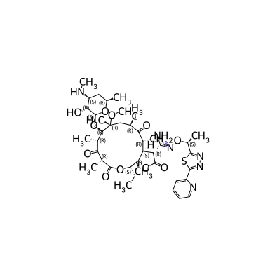 CC[C@@H]1OC(=O)[C@H](C)C(=O)[C@H](C)[C@@H](O[C@@H]2O[C@H](C)C[C@H](NC)[C@H]2O)[C@](C)(OC)C[C@@H](C)C(=O)[C@H](C)[C@H]2[C@H](/C(N)=N/O[C@@H](C)c3nnc(-c4ccccn4)s3)C(=O)O[C@@]21C